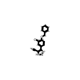 N#Cc1[nH]nnc1-c1ccc(OCc2ccccc2)c(Cl)c1